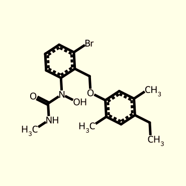 CCc1cc(C)c(OCc2c(Br)cccc2N(O)C(=O)NC)cc1C